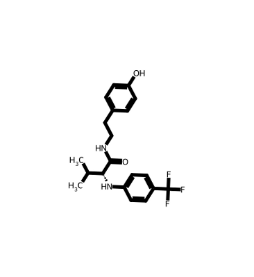 CC(C)[C@@H](Nc1ccc(C(F)(F)F)cc1)C(=O)NCCc1ccc(O)cc1